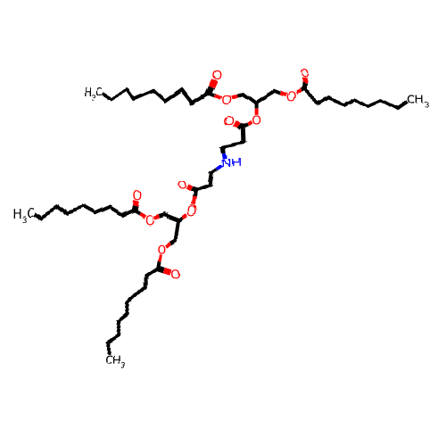 CCCCCCCCC(=O)OCC(COC(=O)CCCCCCCC)OC(=O)CCNCCC(=O)OC(COC(=O)CCCCCCCC)COC(=O)CCCCCCCC